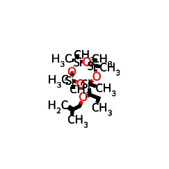 C=C(C)COC(CC)[Si]1(C)O[Si](C)(C)O[Si](C)(C)O[Si](C)(C)O1